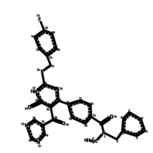 CCCCCCCN(Cc1ccccc1)C(=O)c1ccc(-c2nc(SCc3ccc(F)cc3)[nH]c(=O)c2C(=O)c2cncnc2)cc1